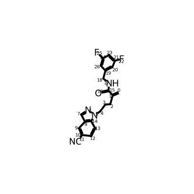 C=C(CCCn1ncc2cc(C#N)ccc21)C(=O)NCc1cc(F)cc(F)c1